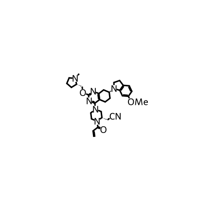 C=CC(=O)N1CCN(c2nc(OC[C@@H]3CCCN3C)nc3c2CC[C@@H](N2CCc4ccc(OC)cc42)C3)C[C@@H]1CC#N